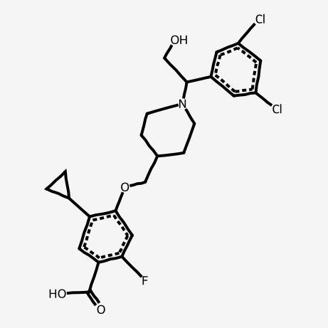 O=C(O)c1cc(C2CC2)c(OCC2CCN(C(CO)c3cc(Cl)cc(Cl)c3)CC2)cc1F